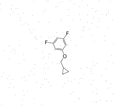 Fc1[c]c(OCC2CC2)cc(F)c1